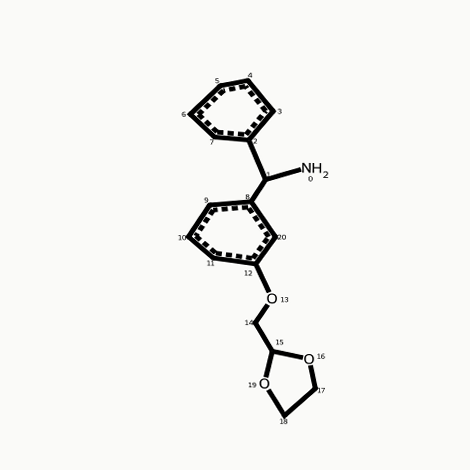 NC(c1ccccc1)c1cccc(OCC2OCCO2)c1